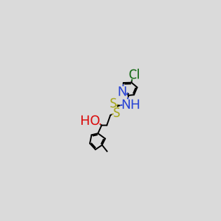 Cc1cccc(C(O)CCSC(=S)Nc2ccc(Cl)cn2)c1